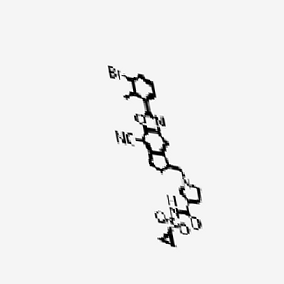 Cc1c(Br)cccc1-c1nc2cc3c(c(C#N)c2o1)CCC3CN1CC[C@@H](C(=O)NS(=O)(=O)C2CC2)C1